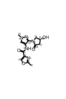 Cc1nc(C(=O)Nc2cn(C)nc2N2C[C@@H](O)CC2=O)co1